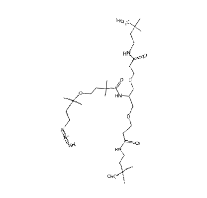 CC(C)(C=O)CCNC(=O)CCOCC(COCCC(=O)NCCC(C)(C)C(=O)O)NC(=O)C(C)(C)CCOC(C)(C)CCN=[N+]=N